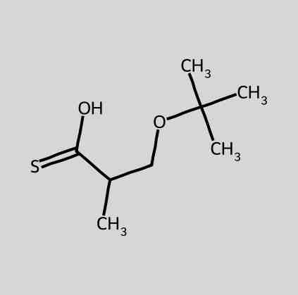 CC(COC(C)(C)C)C(O)=S